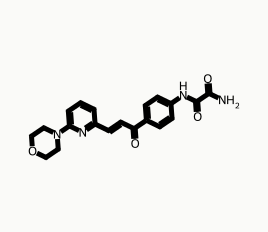 NC(=O)C(=O)Nc1ccc(C(=O)C=Cc2cccc(N3CCOCC3)n2)cc1